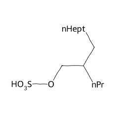 CCCCCCCCC(CCC)COS(=O)(=O)O